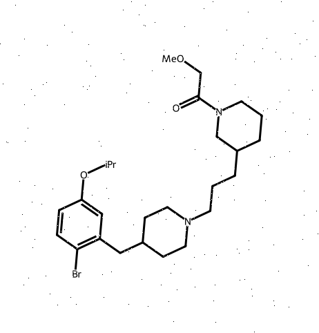 COCC(=O)N1CCCC(CCCN2CCC(Cc3cc(OC(C)C)ccc3Br)CC2)C1